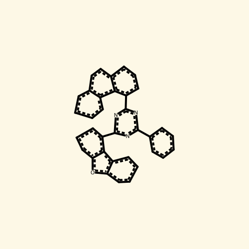 c1ccc(-c2nc(-c3cccc4ccc5ccccc5c34)nc(-c3cccc4oc5ccccc5c34)n2)cc1